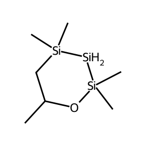 CC1C[Si](C)(C)[SiH2][Si](C)(C)O1